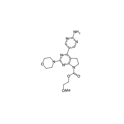 COCCOC(=O)N1CCc2c(-c3cnc(N)nc3)nc(N3CCOCC3)nc21